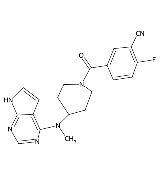 CN(c1ncnc2[nH]ccc12)C1CCN(C(=O)c2ccc(F)c(C#N)c2)CC1